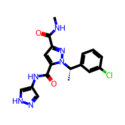 CNC(=O)c1cc(C(=O)Nc2cn[nH]c2)n([C@@H](C)c2cccc(Cl)c2)n1